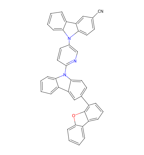 N#Cc1ccc2c(c1)c1ccccc1n2-c1ccc(-n2c3ccccc3c3cc(-c4cccc5c4oc4ccccc45)ccc32)nc1